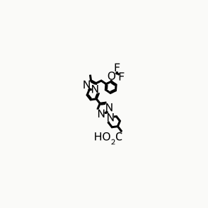 Cc1nc2ccc(-c3cnc(N4CCC(CC(=O)O)CC4)nc3)cn2c1Cc1ccccc1OC(F)F